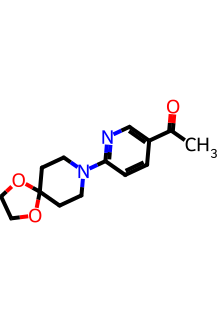 CC(=O)c1ccc(N2CCC3(CC2)OCCO3)nc1